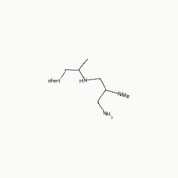 CCCCCCC(C)NCC(CN)NC